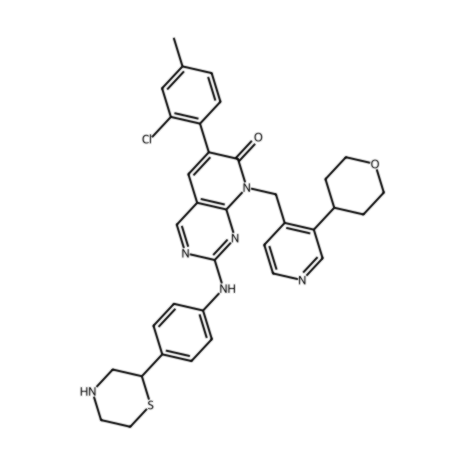 Cc1ccc(-c2cc3cnc(Nc4ccc(C5CNCCS5)cc4)nc3n(Cc3ccncc3C3CCOCC3)c2=O)c(Cl)c1